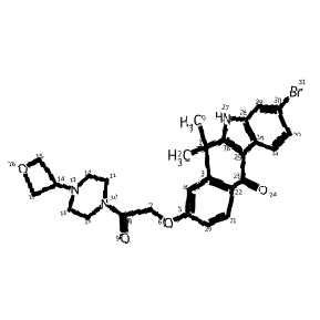 CC1(C)c2cc(OCC(=O)N3CCN(C4COC4)CC3)ccc2C(=O)c2c1[nH]c1cc(Br)ccc21